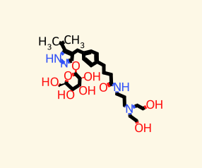 CC(C)c1[nH]nc(O[C@@H]2O[C@H](CO)[C@@H](O)[C@H](O)[C@H]2O)c1Cc1ccc(CCCC(=O)NCCCN(CCO)CCO)cc1